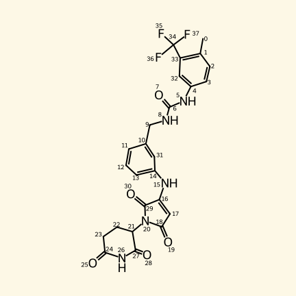 Cc1ccc(NC(=O)NCc2cccc(NC3=CC(=O)N(C4CCC(=O)NC4=O)C3=O)c2)cc1C(F)(F)F